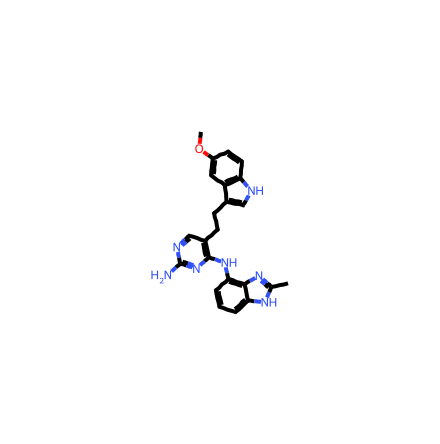 COc1ccc2[nH]cc(CCc3cnc(N)nc3Nc3cccc4[nH]c(C)nc34)c2c1